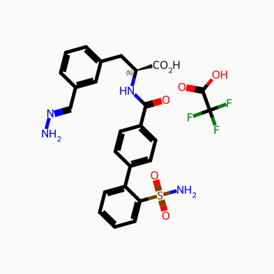 NN=Cc1cccc(C[C@H](NC(=O)c2ccc(-c3ccccc3S(N)(=O)=O)cc2)C(=O)O)c1.O=C(O)C(F)(F)F